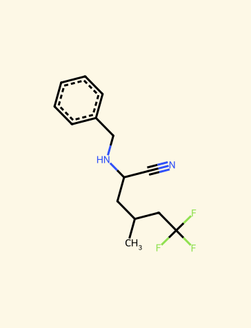 CC(CC(C#N)NCc1ccccc1)CC(F)(F)F